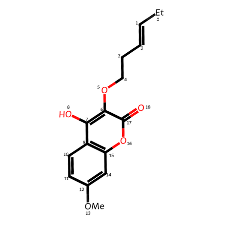 CCC=CCCOc1c(O)c2ccc(OC)cc2oc1=O